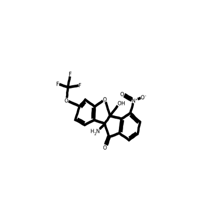 NC12C(=O)c3cccc([N+](=O)[O-])c3C1(O)Oc1cc(OC(F)(F)F)ccc12